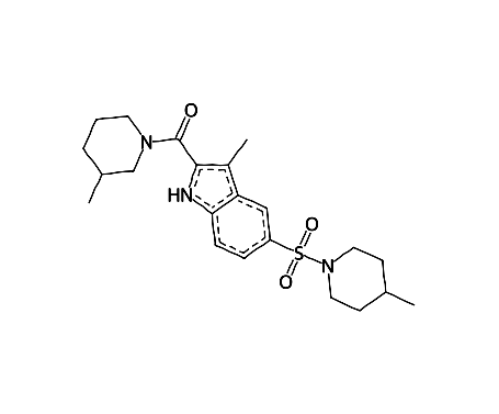 Cc1c(C(=O)N2CCCC(C)C2)[nH]c2ccc(S(=O)(=O)N3CCC(C)CC3)cc12